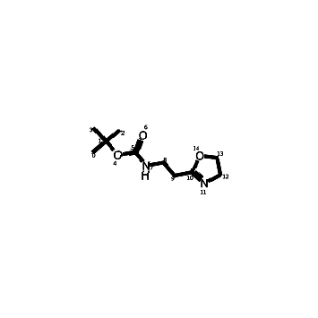 CC(C)(C)OC(=O)NCCC1=NCCO1